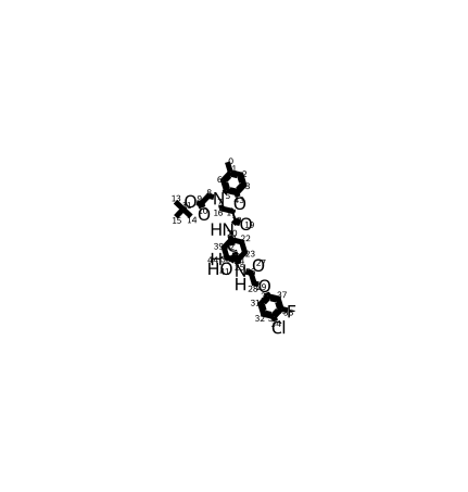 Cc1ccc2c(c1)N(CC(=O)OC(C)(C)C)C[C@H](C(=O)NC13CCC(NC(=O)COc4ccc(Cl)c(F)c4)(CC1)[C@@H](O)C3)O2